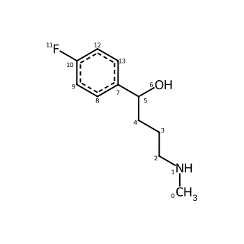 CNCCCC(O)c1ccc(F)cc1